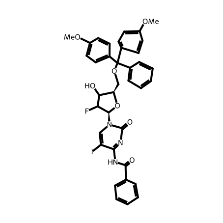 COc1ccc(C(OC[C@H]2O[C@@H](n3cc(I)c(NC(=O)c4ccccc4)nc3=O)C(F)C2O)(c2ccccc2)c2ccc(OC)cc2)cc1